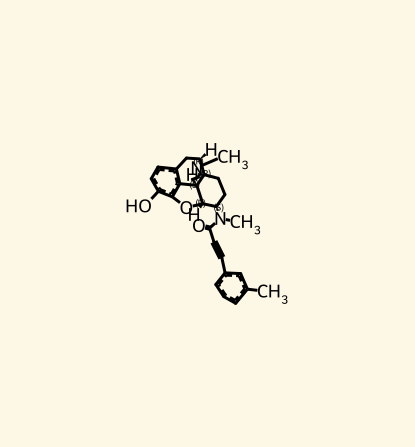 Cc1cccc(C#CC(=O)N(C)[C@H]2CC[C@H]3[C@H]4Cc5ccc(O)c6c5[C@@]3(CCN4C)[C@H]2O6)c1